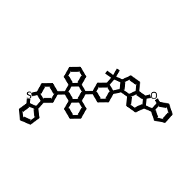 CC1(C)c2cc(-c3c4ccccc4c(-c4ccc5sc6ccccc6c5c4)c4ccccc34)ccc2-c2c1ccc1c2ccc2c3ccccc3oc12